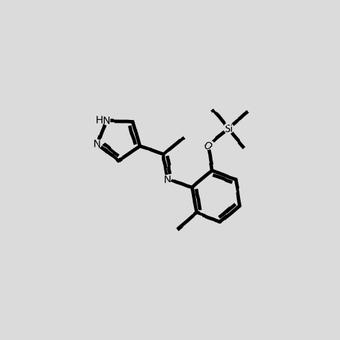 CC(=Nc1c(C)cccc1O[Si](C)(C)C)c1cn[nH]c1